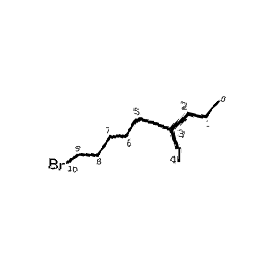 CCCC(I)CCCCCBr